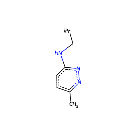 Cc1ccc(NCC(C)C)nn1